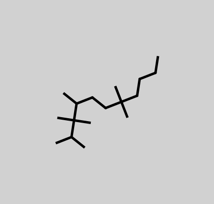 CCCCC(C)(C)CCC(C)C(C)(C)C(C)C